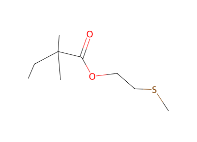 CCC(C)(C)C(=O)OCCSC